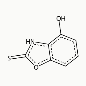 Oc1cccc2oc(=S)[nH]c12